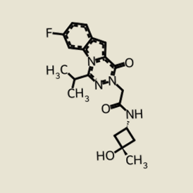 CC(C)c1nn(CC(=O)N[C@H]2C[C@@](C)(O)C2)c(=O)c2cc3ccc(F)cc3n12